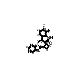 O=c1cc(Cn2c(C3CCC3)nc3cncnc32)c2ccc(F)c(F)c2[nH]1